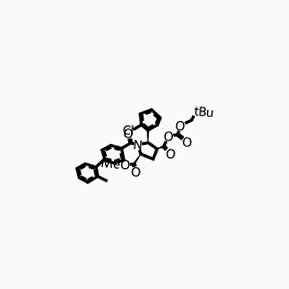 COC(=O)[C@@H]1C[C@H](C(=O)OC(=O)OCC(C)(C)C)[C@H](c2ccccc2Cl)N1C(=O)c1ccc(-c2ccccc2C)cc1